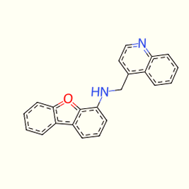 c1ccc2c(CNc3cccc4c3oc3ccccc34)ccnc2c1